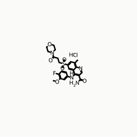 COc1cc(Nc2c(C(N)=O)cnc3c(C)cc(S(=O)(=O)CCC(=O)N4CCOCC4)cc23)ccc1F.Cl